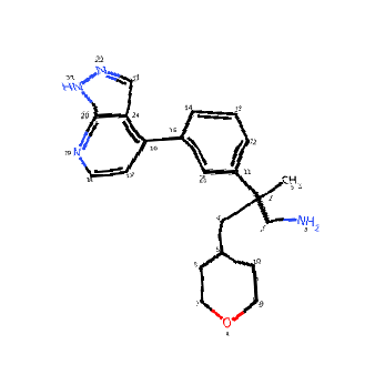 CC(CN)(CC1CCOCC1)c1cccc(-c2ccnc3[nH]ncc23)c1